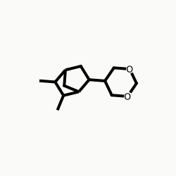 CC1C2CC(C3COCOC3)C(C2)C1C